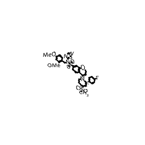 COc1ccc(CN(c2ncns2)S(=O)(=O)c2ccc3c(c2)OCC[C@@H]3N2CC[C@@H](S(C)(=O)=O)C[C@H]2c2ccc(F)cc2)c(OC)c1